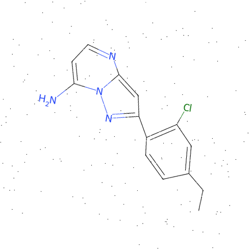 CCc1ccc(-c2cc3nccc(N)n3n2)c(Cl)c1